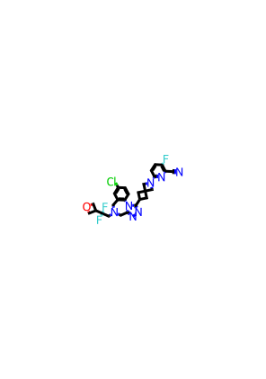 N#Cc1nc(N2CC3(CC(c4nnc5n4-c4ccc(Cl)cc4CN(CC(F)(F)C4COC4)C5)C3)C2)ccc1F